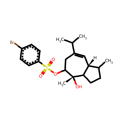 CC(C)C1=C[C@@H]2C(C)CCC2[C@](C)(O)C(OS(=O)(=O)c2ccc(Br)cc2)C1